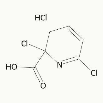 Cl.O=C(O)C1(Cl)CC=CC(Cl)=N1